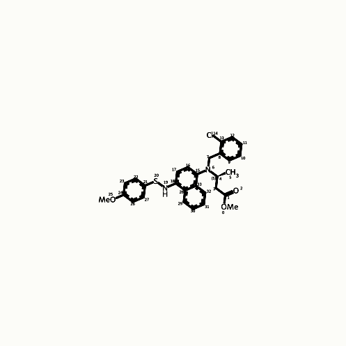 COC(=O)C[C@H](C)N(Cc1ccccc1Cl)c1ccc(NSc2ccc(OC)cc2)c2ccccc12